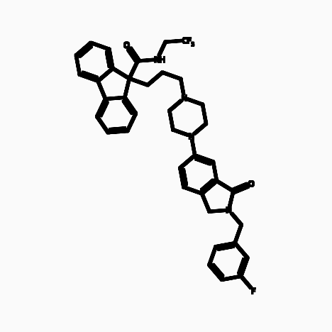 O=C1c2cc(N3CCN(CCCC4(C(=O)NCC(F)(F)F)c5ccccc5-c5ccccc54)CC3)ccc2CN1Cc1cccc(F)c1